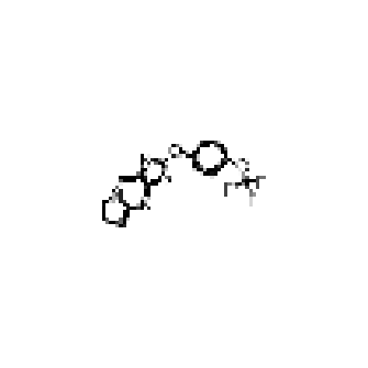 FC(F)(F)Oc1ccc(Oc2nc3c(s2)=NC2=CCCN2C=3)cc1